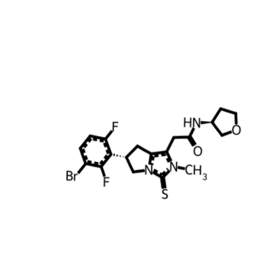 Cn1c(CC(=O)N[C@H]2CCOC2)c2n(c1=S)C[C@H](c1c(F)ccc(Br)c1F)C2